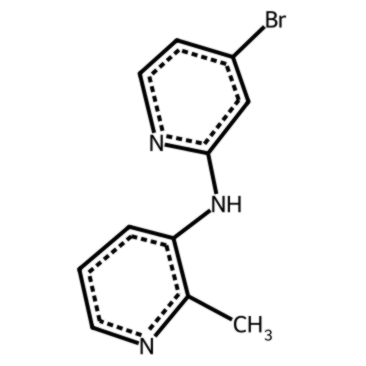 Cc1ncccc1Nc1cc(Br)ccn1